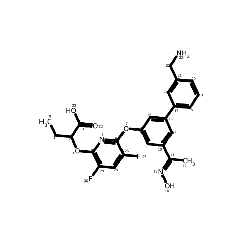 CCC(Oc1nc(Oc2cc(C(C)=NO)cc(-c3cccc(CN)c3)c2)c(F)cc1F)C(=O)O